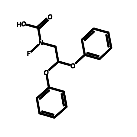 O=C(O)N(F)CC(Oc1ccccc1)Oc1ccccc1